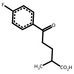 CC(CCC(=O)c1ccc(F)cc1)C(=O)O